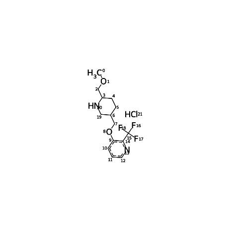 COCC1CCC(COc2cccnc2C(F)(F)F)CN1.Cl